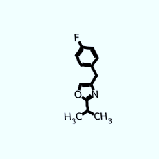 CC(C)c1nc(Cc2ccc(F)cc2)co1